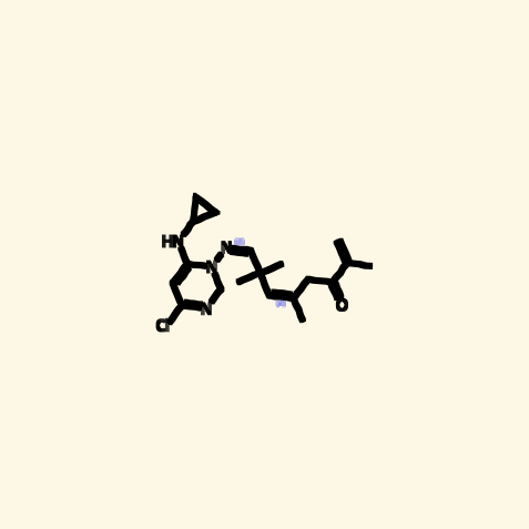 C=C(C)C(=O)C/C(C)=C\C(C)(C)/C=N\N1CN=C(Cl)C=C1NC1CC1